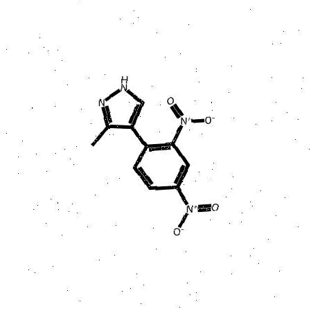 Cc1n[nH]cc1-c1ccc([N+](=O)[O-])cc1[N+](=O)[O-]